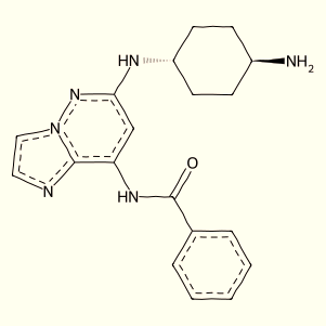 N[C@H]1CC[C@H](Nc2cc(NC(=O)c3ccccc3)c3nccn3n2)CC1